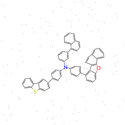 c1cc(-c2cccc3ccccc23)cc(N(c2ccc(-c3ccc4sc5ccccc5c4c3)cc2)c2ccc(-c3cccc4oc5c6ccccc6ccc5c34)cc2)c1